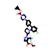 CCOC(=O)c1cnn(C2CCCN(c3cc(Cl)ccc3-c3ccc(N4CCN(C(=O)OC5CC5)CC4)cc3)C2)c1C(F)(F)F